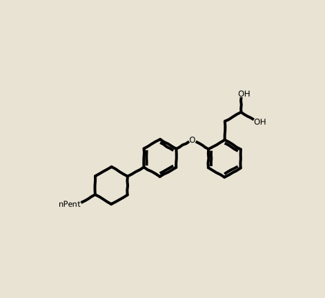 CCCCCC1CCC(c2ccc(Oc3ccccc3CC(O)O)cc2)CC1